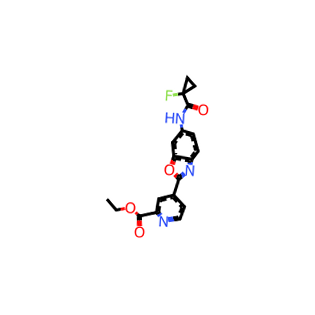 CCOC(=O)c1cc(-c2nc3ccc(NC(=O)C4(F)CC4)cc3o2)ccn1